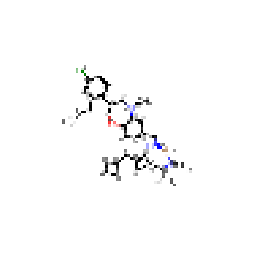 CCCc1cc(Cl)ccc1C1COc2ccc(CNSN(C)C(C)[C@@H]3C=C(CC4CCC4)C3)cc2N(C)C1